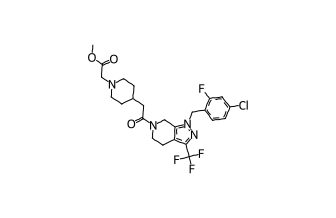 COC(=O)CN1CCC(CC(=O)N2CCc3c(C(F)(F)F)nn(Cc4ccc(Cl)cc4F)c3C2)CC1